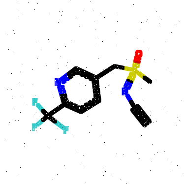 C#CN=S(C)(=O)Cc1ccc(C(F)(F)F)nc1